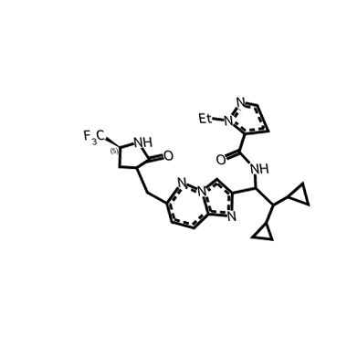 CCn1nccc1C(=O)NC(c1cn2nc(CC3C[C@@H](C(F)(F)F)NC3=O)ccc2n1)C(C1CC1)C1CC1